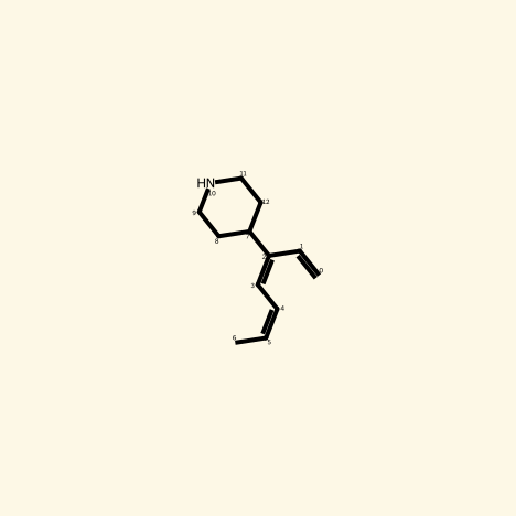 C=C/C(=C\C=C/C)C1CCNCC1